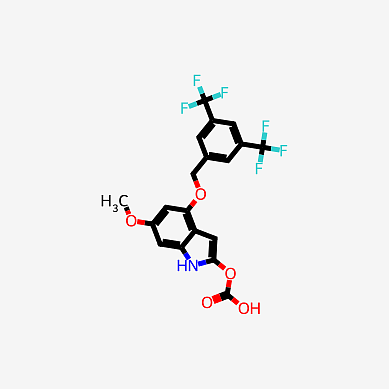 COc1cc(OCc2cc(C(F)(F)F)cc(C(F)(F)F)c2)c2cc(OC(=O)O)[nH]c2c1